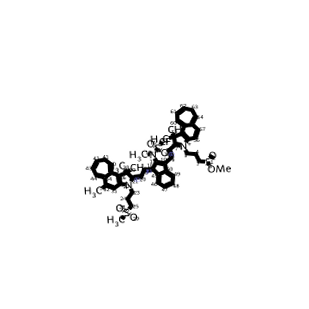 COS(=O)CCC[N+]1=C(/C=C/C2=C(N(C)S(=O)(=O)C(F)(F)F)C(=C/C=C3/N(CCCS(C)(=O)=O)c4cc(C)c5c(c4C3(C)C)=CCC=CC=5)/c3ccccc32)C(C)(C)c2c1ccc1c2=CC=CCC=1